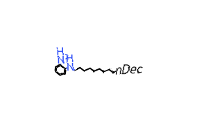 CCCCCCCCCCCCCCCCCCCNc1ccccc1N